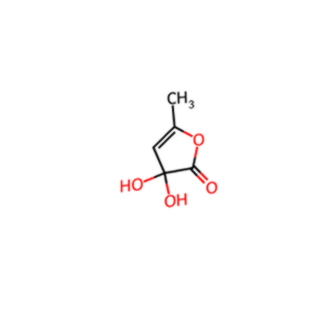 CC1=CC(O)(O)C(=O)O1